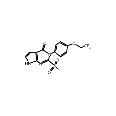 CS(=O)(=O)c1nc2[nH]ccc2c(=O)n1-c1ccc(OCC(F)(F)F)cc1